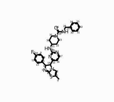 CC1=CN2C(=NC(c3ccc(F)cc3)C2c2ccnc(NC3CCN(C(=O)NCc4ccccc4)CC3)n2)S1